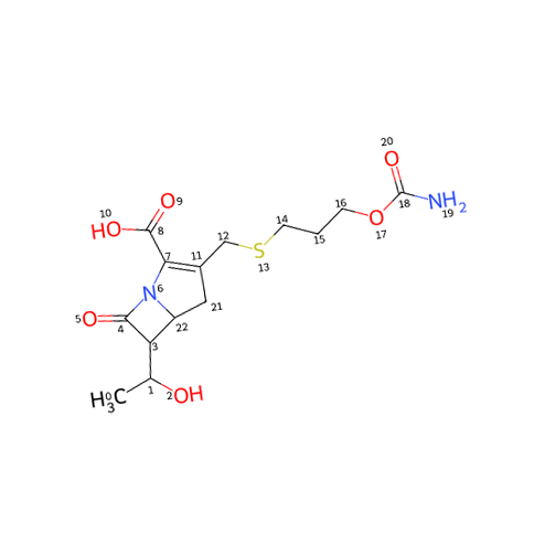 CC(O)C1C(=O)N2C(C(=O)O)=C(CSCCCOC(N)=O)CC12